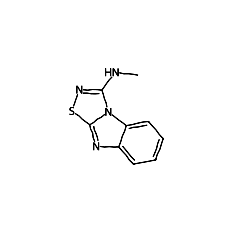 CNc1nsc2nc3ccccc3n12